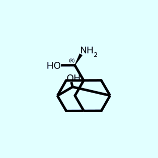 N[C@H](O)C12CC3CC(C1)C(O)C(C3)C2